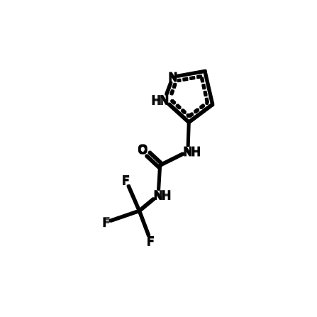 O=C(Nc1ccn[nH]1)NC(F)(F)F